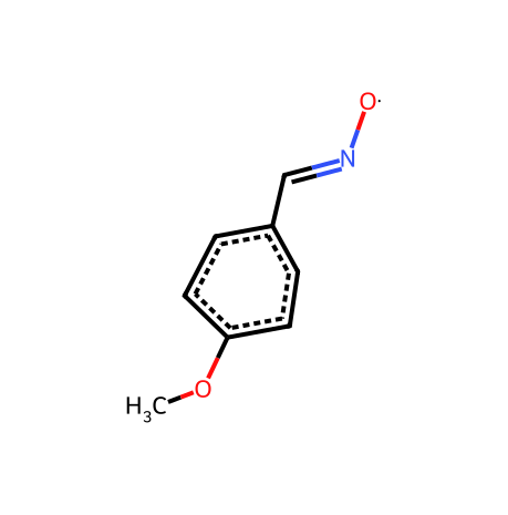 COc1ccc(C=N[O])cc1